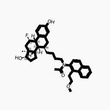 COCCc1c(N(CCCC[C@@H]2Cc3cc(O)ccc3[C@@H]3[C@@H]2[C@@H]2CC[C@H](O)[C@@]2(C)C[C@@H]3F)C(C)=O)ccc2ccccc12